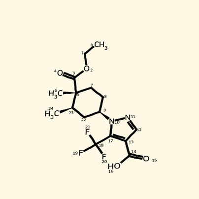 CCOC(=O)[C@]1(C)CC[C@@H](n2ncc(C(=O)O)c2C(F)(F)F)C[C@H]1C